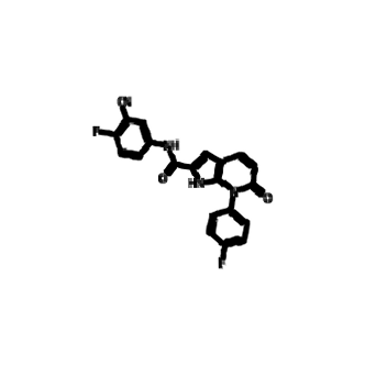 N#Cc1cc(NC(=O)c2cc3ccc(=O)n(-c4ccc(F)cc4)c3[nH]2)ccc1F